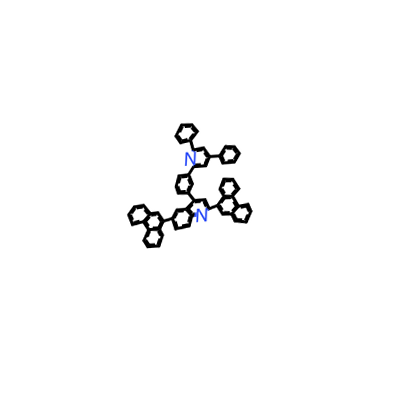 c1ccc(-c2cc(-c3ccccc3)nc(-c3cccc(-c4cc(-c5cc6ccccc6c6ccccc56)nc5ccc(-c6cc7ccccc7c7ccccc67)cc45)c3)c2)cc1